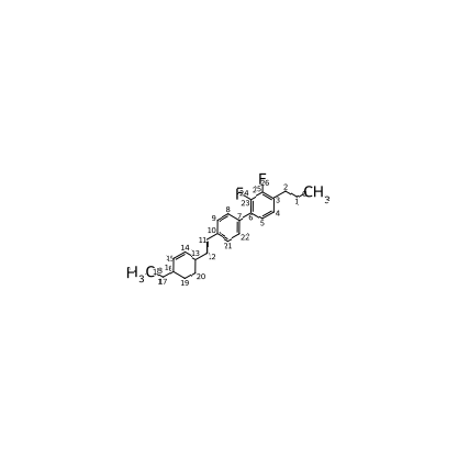 CCCc1ccc(-c2ccc(/C=C/C3C=CC(CC)CC3)cc2)c(F)c1F